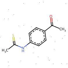 CC(=O)c1ccc(NC(C)=S)cc1